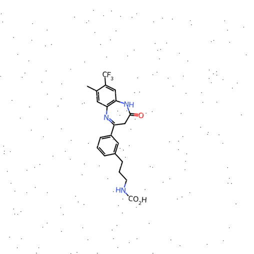 Cc1cc2c(cc1C(F)(F)F)NC(=O)CC(c1cccc(CCCNC(=O)O)c1)=N2